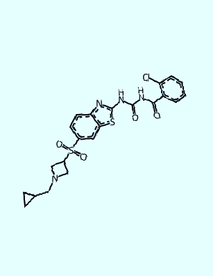 O=C(NC(=O)c1ccccc1Cl)Nc1nc2ccc(S(=O)(=O)C3CN(CC4CC4)C3)cc2s1